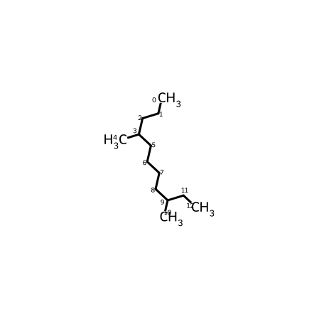 CCCC(C)CCCCC(C)CC